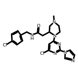 CN1CCN(c2cc(Cl)nc(-n3ccnc3)n2)C(CC(=O)NCc2ccc(Cl)cc2)C1